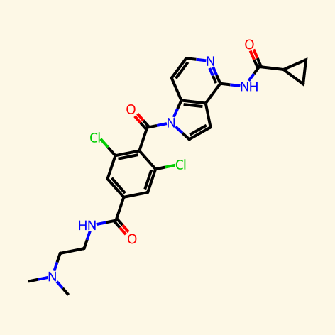 CN(C)CCNC(=O)c1cc(Cl)c(C(=O)n2ccc3c(NC(=O)C4CC4)nccc32)c(Cl)c1